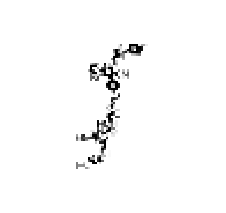 C=C(NCCCC[C@H](NC(=O)OC(C)(C)C)C(=O)NCCC(=O)OCCOc1ccc(-c2c(C#N)c(SCc3csc(-c4ccc(Cl)cc4)n3)nc(N3CCCC3)c2C#N)cc1)OC(C)(C)O